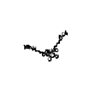 C=C(C)OCNCCCCCCOC(=O)CN1C(=O)CC(=O)CN(OC(=O)CCCCCCNCOC(=C)C)C1=O